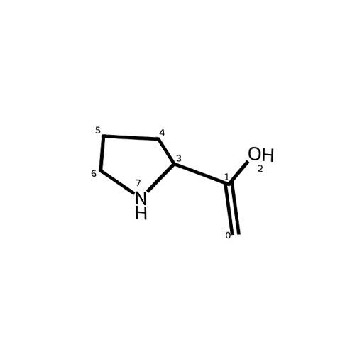 C=C(O)C1CCCN1